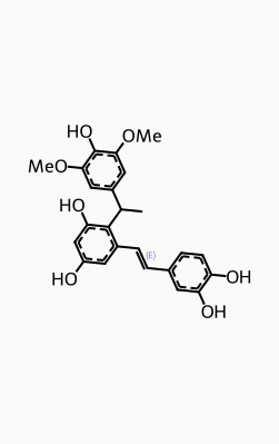 COc1cc(C(C)c2c(O)cc(O)cc2/C=C/c2ccc(O)c(O)c2)cc(OC)c1O